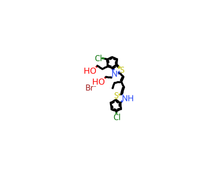 CCC(=Cc1sc2ccc(Cl)c(CCO)c2[n+]1CCO)C=C1Nc2cc(Cl)ccc2S1.[Br-]